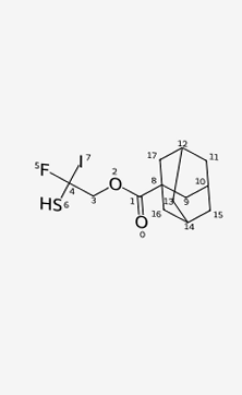 O=C(OCC(F)(S)I)C12CC3CC(CC(C3)C1)C2